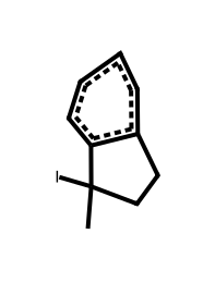 CC1(I)CCc2ccccc21